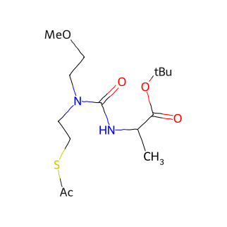 COCCN(CCSC(C)=O)C(=O)NC(C)C(=O)OC(C)(C)C